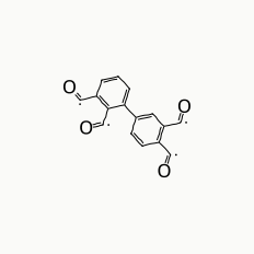 O=[C]c1ccc(-c2cccc([C]=O)c2[C]=O)cc1[C]=O